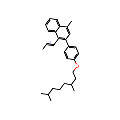 C/C=C/c1c(-c2ccc(OCCC(C)CCCC(C)C)cc2)cc(C)c2ccccc12